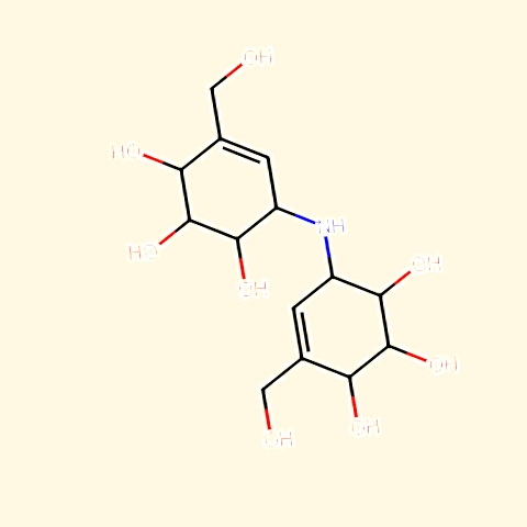 OCC1=CC(NC2C=C(CO)C(O)C(O)C2O)C(O)C(O)C1O